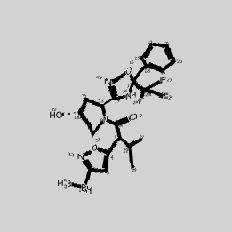 BBc1cc(C(C(=O)N2C[C@H](O)C[C@H]2C2=NOC(c3ccccc3)(C(F)(F)F)N2)C(C)C)on1